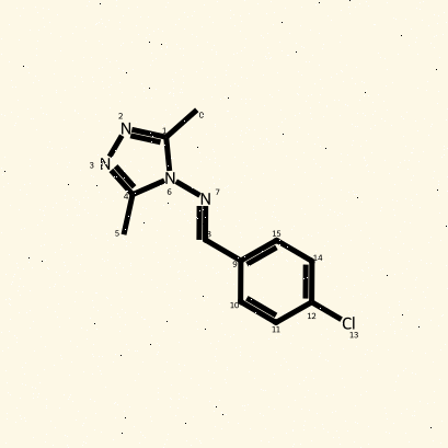 Cc1nnc(C)n1N=Cc1ccc(Cl)cc1